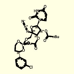 CCCCC(=O)O[C@H]1[C@H](n2ccc(=O)[nH]c2=O)O[C@@](COP2(=O)OCC[C@@H](c3cccc(Cl)c3)O2)(N=[N+]=[N-])[C@H]1OC(=O)CCCC